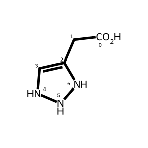 O=C(O)CC1=CNNN1